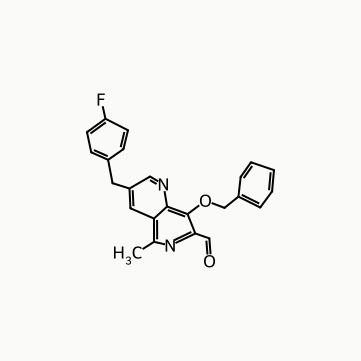 Cc1nc(C=O)c(OCc2ccccc2)c2ncc(Cc3ccc(F)cc3)cc12